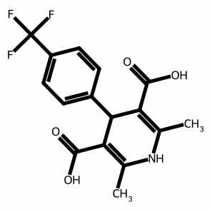 CC1=C(C(=O)O)C(c2ccc(C(F)(F)F)cc2)C(C(=O)O)=C(C)N1